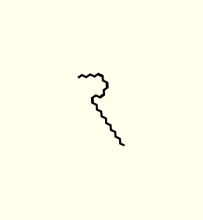 CCCCC/C=C\C/C=C\C/C=C\C/C=C\CCCCCCCCCCCCC